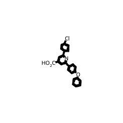 O=C(O)c1cc(-c2ccc(Cl)cc2)nc(-c2ccc(Oc3ccccc3)cc2)c1